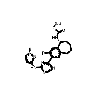 Cn1ccc(Nc2ncnc(-c3cc4c(cc3F)[C@H](NC(=O)OC(C)(C)C)CCCC4)n2)n1